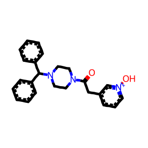 O=C(Cc1ccc[n+](O)c1)N1CCN(C(c2ccccc2)c2ccccc2)CC1